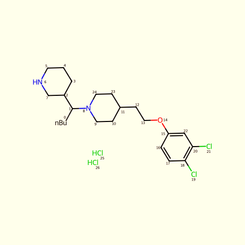 CCCCC(C1CCCNC1)N1CCC(CCOc2ccc(Cl)c(Cl)c2)CC1.Cl.Cl